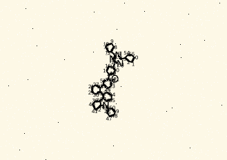 c1ccc(-c2nc(-c3ccccc3)nc(-c3ccc4c(c3)oc3ccc(-c5ccccc5-c5cccc6c5c5ccccc5n6-c5ccccc5)cc34)n2)cc1